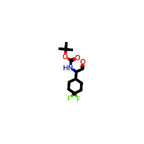 CC(C)(C)OC(=O)NC(C=O)C1CCC(F)(F)CC1